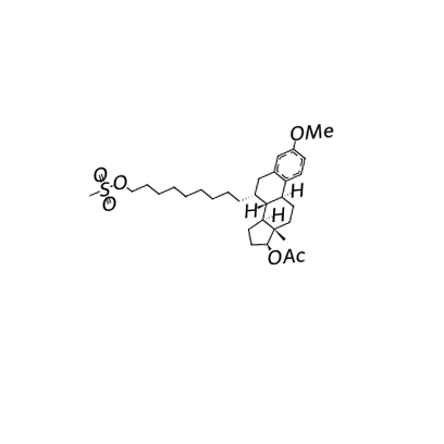 COc1ccc2c(c1)C[C@@H](CCCCCCCCCOS(C)(=O)=O)[C@@H]1[C@@H]2CC[C@]2(C)[C@@H](OC(C)=O)CC[C@@H]12